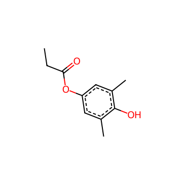 CCC(=O)Oc1cc(C)c(O)c(C)c1